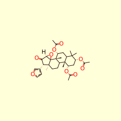 CC(=O)O[C@H]1C[C@@H](OC(C)=O)C(C)(C)C2C[C@@H](OC(C)=O)[C@]3(C)C(CC[C@@]4(C)[C@H](c5ccoc5)C(=O)[C@H]5O[C@]543)[C@]21C